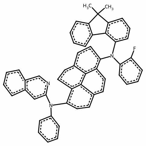 CC1(C)c2ccccc2-c2c(N(c3ccccc3F)c3ccc4ccc5c(N(c6ccccc6)c6cc7ccccc7cn6)ccc6ccc3c4c65)cccc21